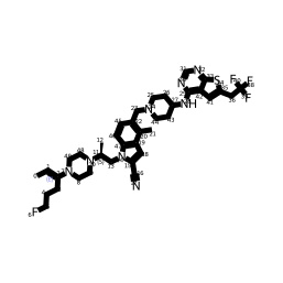 C/C=C(\CCCF)N1CCN([C@@H](C)Cn2c(C#N)cc3c(C)c(CN4CCC(Nc5ncnc6sc(CC(F)(F)F)cc56)CC4)ccc32)CC1